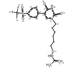 C=C(C)NOCCCCCCn1cc(-c2ccc(S(=O)(=O)C(F)(F)F)cc2)c(=O)[nH]c1=O